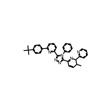 CC1C=CC(c2nnc(-c3cccc(-c4ccc(C(C)(C)C)cc4)n3)n2-c2ccccc2)=NC1c1ccccn1